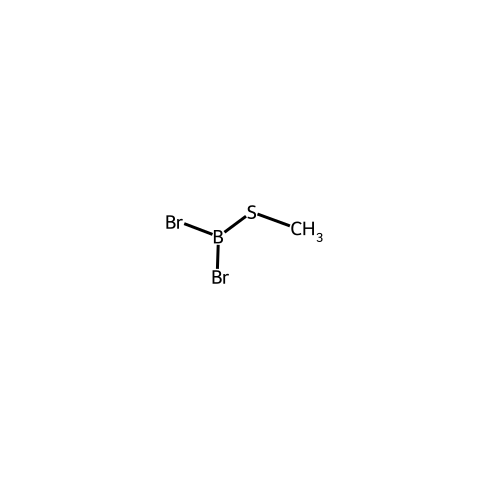 CSB(Br)Br